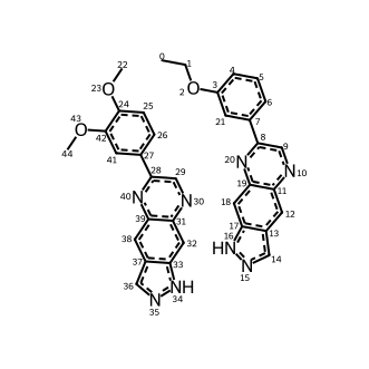 CCOc1cccc(-c2cnc3cc4cn[nH]c4cc3n2)c1.COc1ccc(-c2cnc3cc4[nH]ncc4cc3n2)cc1OC